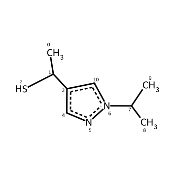 CC(S)c1cnn(C(C)C)c1